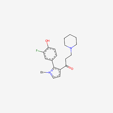 CCn1ccc(C(=O)CCN2CCCCC2)c1-c1ccc(O)c(F)c1